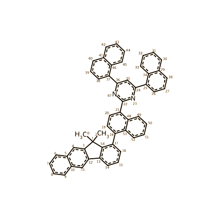 CC1(C)c2cc3ccccc3cc2-c2cccc(-c3ccc(-c4nc(-c5cccc6ccccc56)cc(-c5cccc6ccccc56)n4)c4ccccc34)c21